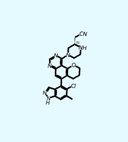 Cc1cc2[nH]ncc2c(-c2cc3ncnc(N4CCN[C@@H](CC#N)C4)c3c3c2CCCO3)c1Cl